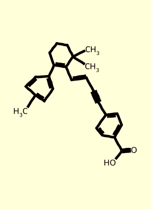 Cc1ccc(C2=C(C=CC#Cc3ccc(C(=O)O)cc3)C(C)(C)CCC2)cc1